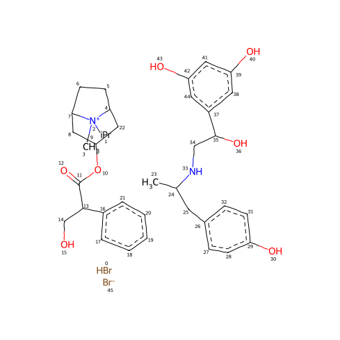 Br.CC(C)[N+]1(C)C2CCC1CC(OC(=O)C(CO)c1ccccc1)C2.CC(Cc1ccc(O)cc1)NCC(O)c1cc(O)cc(O)c1.[Br-]